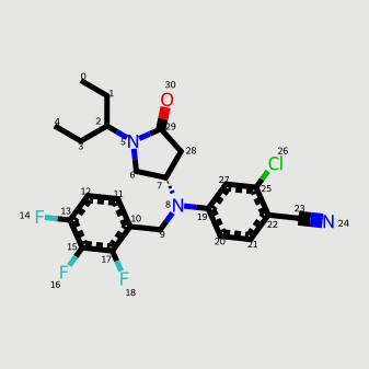 CCC(CC)N1C[C@@H](N(Cc2ccc(F)c(F)c2F)c2ccc(C#N)c(Cl)c2)CC1=O